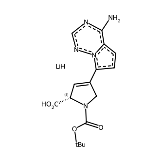 CC(C)(C)OC(=O)N1CC(c2ccc3c(N)ncnn23)=C[C@H]1C(=O)O.[LiH]